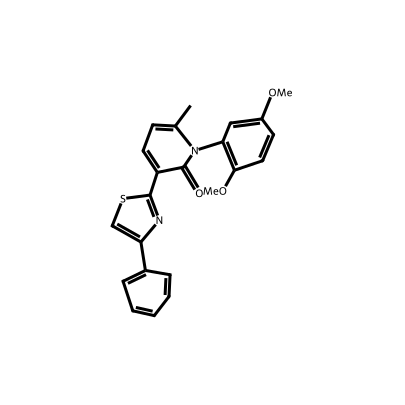 COc1ccc(OC)c(-n2c(C)ccc(-c3nc(-c4ccccc4)cs3)c2=O)c1